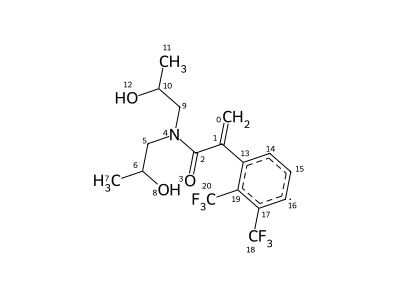 C=C(C(=O)N(CC(C)O)CC(C)O)c1cc[c]c(C(F)(F)F)c1C(F)(F)F